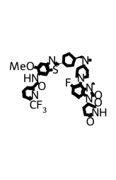 COc1cc2nc([C@H]3CC[C@H](CN(C)C4CCN(c5c(F)ccc6c5n(C)c(=O)n6C5CCC(=O)NC5=O)CC4)CC3)sc2cc1NC(=O)c1cccc(C(F)(F)F)n1